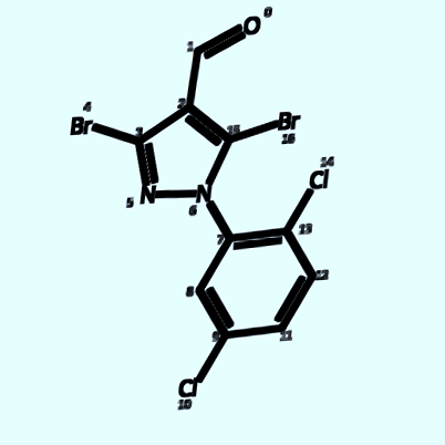 O=Cc1c(Br)nn(-c2cc(Cl)ccc2Cl)c1Br